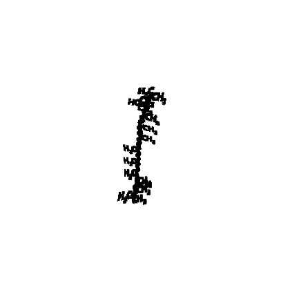 CC(C)=CCC(CC/C(C)=C/C=C/C(C)=C/C=C/C(C)=C/C=C/C=C(C)/C=C/C=C(C)/C=C/C=C(\C)CCC(CC=C(C)C)C(C)(C)O)C(C)(C)O